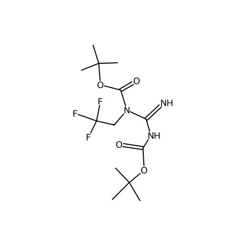 CC(C)(C)OC(=O)NC(=N)N(CC(F)(F)F)C(=O)OC(C)(C)C